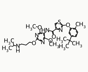 COc1nc(OCCCNC(C)C)nc(OC)c1NC(=O)c1csc(Oc2cc(C(C)(C)C)ccc2C)n1